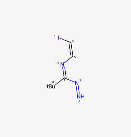 CC(C)(C)/C(N=N)=N/C=C\I